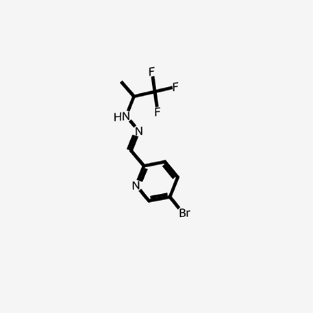 CC(N/N=C/c1ccc(Br)cn1)C(F)(F)F